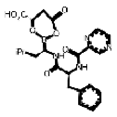 CC(C)C[C@H](NC(=O)[C@H](Cc1ccccc1)NC(=O)c1cnccn1)B1OC(=O)C[C@@H](C(=O)O)O1